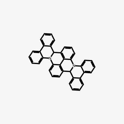 c1ccc2c(c1)-c1ccccc1N1c3cccc4c3-c3c(cccc3N3c5ccccc5-c5ccccc5C43)C21